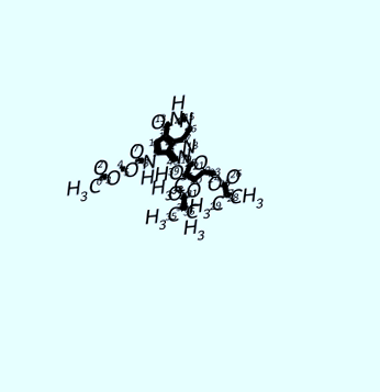 CC(=O)OCOC(=O)Nc1cc2c(=O)[nH]ncc3nn(C4OC(COC(=O)C(C)C)C(OC(=O)C(C)C)C4(C)O)cc1c32